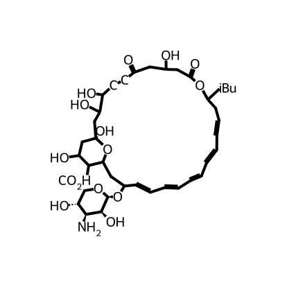 CCC(C)C1C/C=C/C=C/C=C/C=C/C=C/C(O[C@@H]2OC[C@@H](O)[C@H](N)[C@@H]2O)CC2OC(O)(CC(O)C(O)CCC(=O)CC(O)CC(=O)O1)CC(O)C2C(=O)O